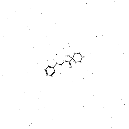 [NH]C1(C(=O)OCCc2ccccc2)CCCCC1